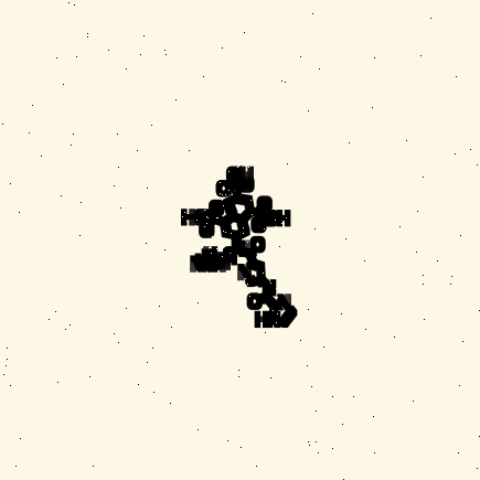 C[N+](C(=O)C1=CC(=NC(=O)c2ncc[nH]2)C=N1)=C1C=C2C(=CC(S(=O)(=O)O)=CC2S(=O)(=O)O)C(S(=O)(=O)O)=C1.[NaH].[NaH].[NaH]